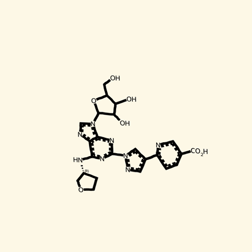 O=C(O)c1ccc(-c2cnn(-c3nc(N[C@@H]4CCOC4)c4ncn(C5OC(CO)C(O)C5O)c4n3)c2)nc1